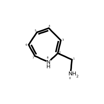 NCC1=CC=CC=CN1